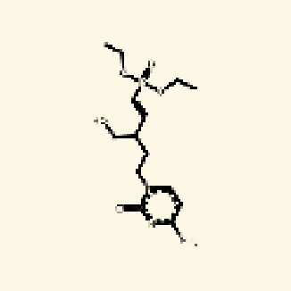 CCOP(=O)(C=CC(CO)CCn1ccc(N)nc1=O)OCC